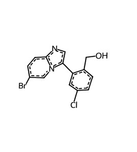 OCc1ccc(Cl)cc1-c1cnc2ccc(Br)cn12